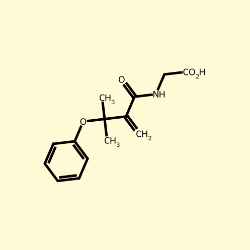 C=C(C(=O)NCC(=O)O)C(C)(C)Oc1ccccc1